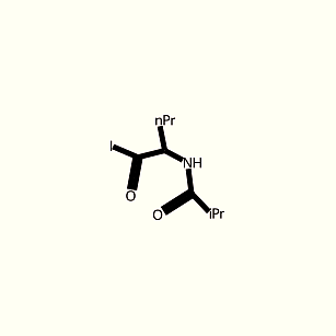 CCCC(NC(=O)C(C)C)C(=O)I